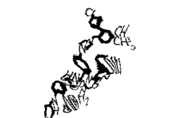 CC1(C)CCC(CN2CCN(c3ccc(C(=O)NS(=O)(=O)c4ccc(NCC5CCOCC5)c([N+](=O)[O-])c4)c(N4C[C@H](N)COc5nc6[nH]ccc6cc54)c3)CC2)=C(c2ccc(Cl)cc2)C1